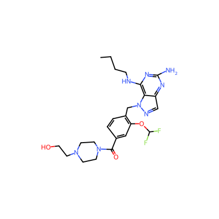 CCCCNc1nc(N)nc2cnn(Cc3ccc(C(=O)N4CCN(CCO)CC4)cc3OC(F)F)c12